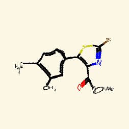 COC(=O)c1nc(Br)sc1-c1ccc(C)c(C)c1